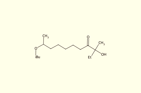 CCC(C)OC(C)CCCCCC(=O)C(C)(O)CC